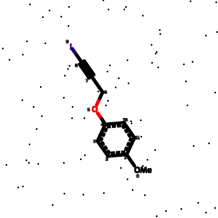 COc1ccc(OCC#CI)cc1